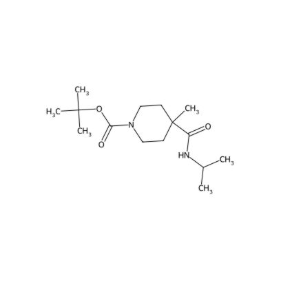 CC(C)NC(=O)C1(C)CCN(C(=O)OC(C)(C)C)CC1